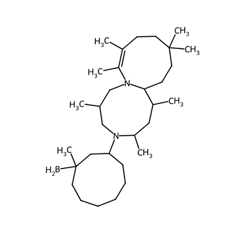 BC1(C)CCCCCCC(N2CC(C)CN3/C(C)=C(/C)CCC(C)(C)CCC3C(C)CC2C)C1